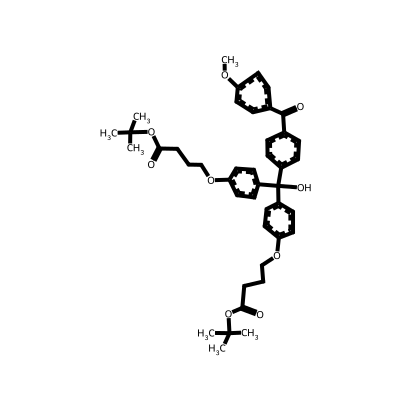 COc1ccc(C(=O)c2ccc(C(O)(c3ccc(OCCCC(=O)OC(C)(C)C)cc3)c3ccc(OCCCC(=O)OC(C)(C)C)cc3)cc2)cc1